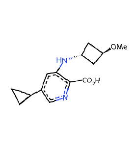 CO[C@H]1C[C@H](Nc2cc(C3CC3)cnc2C(=O)O)C1